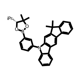 CC(C)[C@H]1OB(c2cccc(-n3c4ccccc4c4cc5c(cc43)C(C)(C)c3ccccc3-5)c2)OC1(C)C